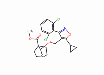 COC(=O)C12CCC(CC1)CC2OCc1c(-c2c(Cl)cccc2Cl)noc1C1CC1